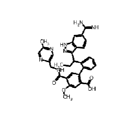 CCC(c1ccccc1-c1cc(C(=O)NCc2cnc(C)cn2)c(OC)cc1C(=O)O)c1n[nH]c2cc(C(=N)N)ccc12